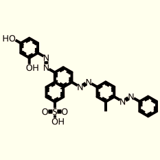 Cc1cc(N=Nc2ccc(N=Nc3ccc(O)cc3O)c3ccc(S(=O)(=O)O)cc23)ccc1N=Nc1ccccc1